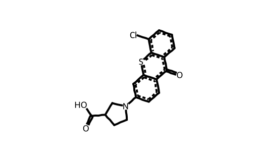 O=C(O)C1CCN(c2ccc3c(=O)c4cccc(Cl)c4sc3c2)C1